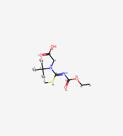 [2H]C([2H])([2H])N(CC(=O)O)C(=NC(=O)OCC)SC